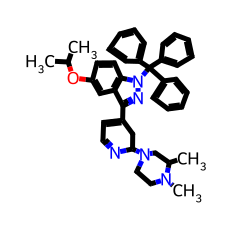 CC(C)Oc1ccc2c(c1)c(C1=CC=NC(N3CCN(C)C(C)C3)C1)nn2C(c1ccccc1)(c1ccccc1)c1ccccc1